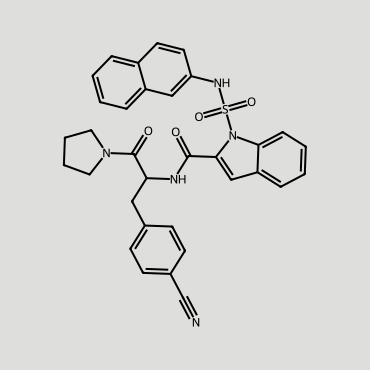 N#Cc1ccc(CC(NC(=O)c2cc3ccccc3n2S(=O)(=O)Nc2ccc3ccccc3c2)C(=O)N2CCCC2)cc1